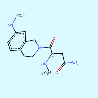 NC(=O)C[C@@H](NC(=O)O)C(=O)N1CCc2ccc(NS(=O)(=O)O)cc2C1